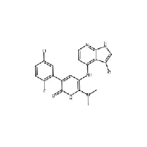 CN(C)c1[nH]c(=O)c(-c2cc(Cl)ccc2F)cc1Nc1ccnc2[nH]cc(Cl)c12